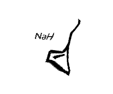 CC1=CC1.[NaH]